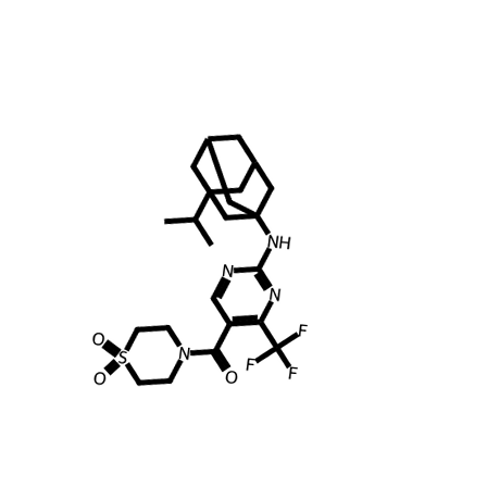 CC(C)C12CC3CC(CC(Nc4ncc(C(=O)N5CCS(=O)(=O)CC5)c(C(F)(F)F)n4)(C3)C1)C2